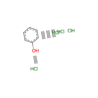 C#C.C#C.C#C.C#C.Cl.Cl.Cl.Cl.Oc1ccccc1